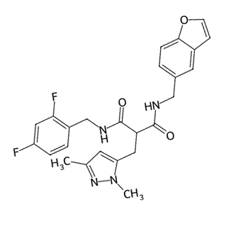 Cc1cc(CC(C(=O)NCc2ccc3occc3c2)C(=O)NCc2ccc(F)cc2F)n(C)n1